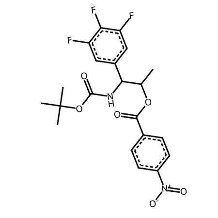 CC(OC(=O)c1ccc([N+](=O)[O-])cc1)C(NC(=O)OC(C)(C)C)c1cc(F)c(F)c(F)c1